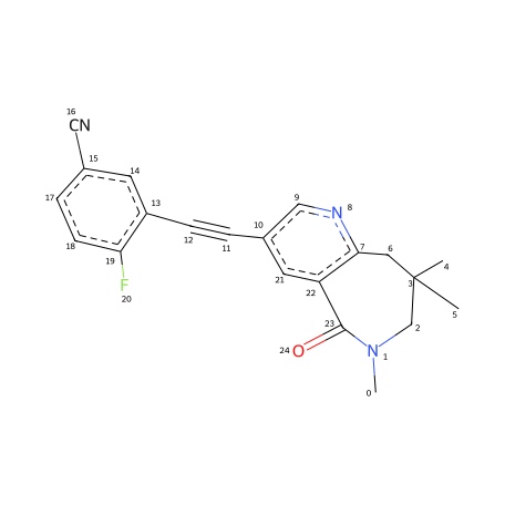 CN1CC(C)(C)Cc2ncc(C#Cc3cc(C#N)ccc3F)cc2C1=O